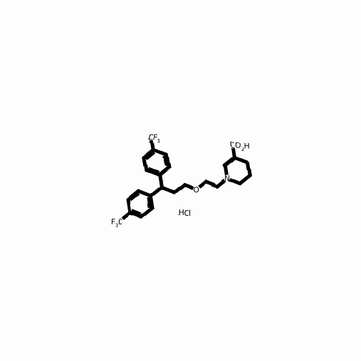 Cl.O=C(O)C1CCCN(CCOCCC(c2ccc(C(F)(F)F)cc2)c2ccc(C(F)(F)F)cc2)C1